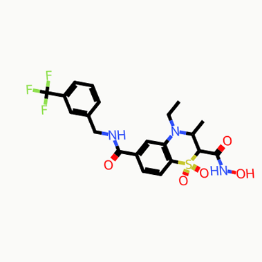 CCN1c2cc(C(=O)NCc3cccc(C(F)(F)F)c3)ccc2S(=O)(=O)C(C(=O)NO)C1C